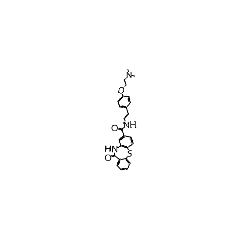 CN(C)CCOc1ccc(CCNC(=O)c2ccc3c(c2)NC(=O)c2ccccc2S3)cc1